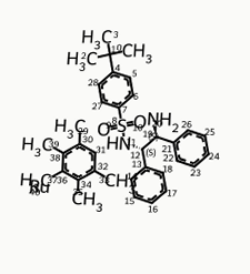 CC(C)(C)c1ccc(S(=O)(=O)N[C@@H](c2ccccc2)[C@@H](N)c2ccccc2)cc1.Cc1cc(C)c(C)c(C)c1C.[Ru]